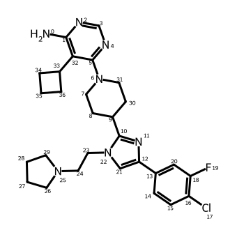 Nc1ncnc(N2CCC(c3nc(-c4ccc(Cl)c(F)c4)cn3CCN3CCCC3)CC2)c1C1CCC1